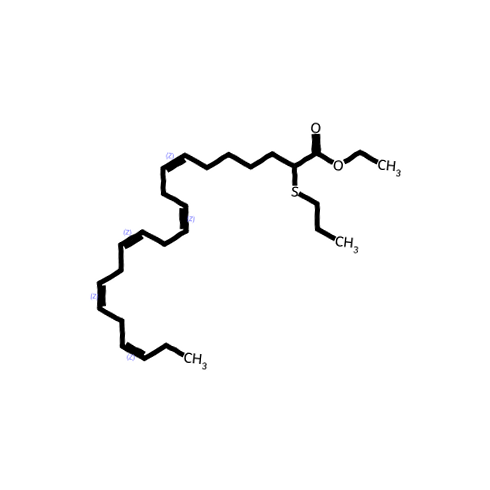 CC/C=C\C/C=C\C/C=C\C/C=C\C/C=C\CCCCC(SCCC)C(=O)OCC